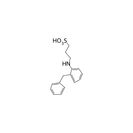 O=S(=O)(O)CCCNc1ccccc1Cc1ccccc1